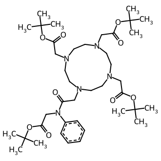 CC(C)(C)OC(=O)CN1CCN(CC(=O)OC(C)(C)C)CCN(CC(=O)N(CC(=O)OC(C)(C)C)c2ccccc2)CCN(CC(=O)OC(C)(C)C)CC1